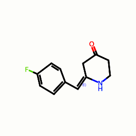 O=C1CCN/C(=C/c2ccc(F)cc2)C1